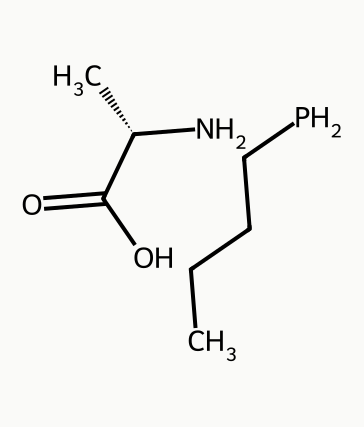 CCCCP.C[C@H](N)C(=O)O